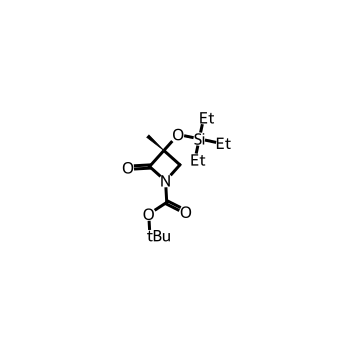 CC[Si](CC)(CC)O[C@]1(C)CN(C(=O)OC(C)(C)C)C1=O